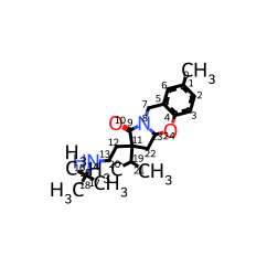 Cc1ccc2c(c1)CN1C(=O)C(CCNC(C)(C)C)(C(C)C)CC1O2